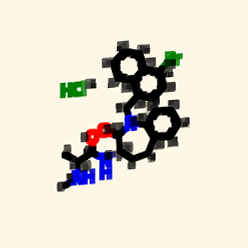 CN[C@@H](C)C(=O)N[C@H]1CCc2ccccc2N(Cc2ccc(Br)c3ccccc23)C1=O.Cl